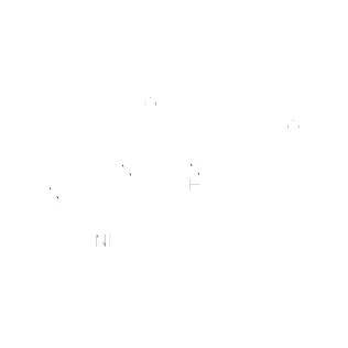 C/C=C(/N=C\N)N(C)C(=O)NCC=O